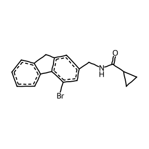 O=C(NCc1cc(Br)c2c(c1)Cc1ccccc1-2)C1CC1